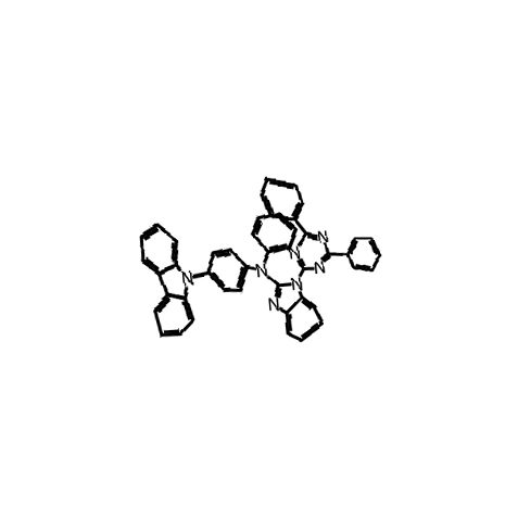 c1ccc(-c2nc(-c3ccccc3)nc(-n3c(N(c4ccccc4)c4ccc(-n5c6ccccc6c6ccccc65)cc4)nc4ccccc43)n2)cc1